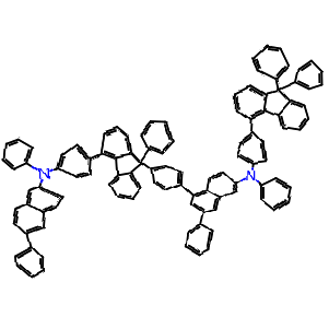 c1ccc(-c2ccc3cc(N(c4ccccc4)c4ccc(-c5cccc6c5-c5ccccc5C6(c5ccccc5)c5ccc(-c6cc(-c7ccccc7)cc7cc(N(c8ccccc8)c8ccc(-c9cccc%10c9-c9ccccc9C%10(c9ccccc9)c9ccccc9)cc8)ccc67)cc5)cc4)ccc3c2)cc1